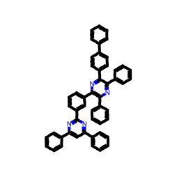 c1ccc(-c2ccc(-c3nc(-c4cccc(-c5nc(-c6ccccc6)cc(-c6ccccc6)n5)c4)c(-c4ccccc4)nc3-c3ccccc3)cc2)cc1